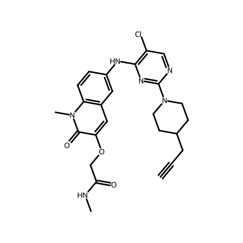 C#CCC1CCN(c2ncc(Cl)c(Nc3ccc4c(c3)cc(OCC(=O)NC)c(=O)n4C)n2)CC1